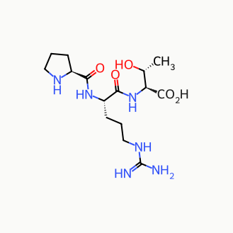 C[C@@H](O)[C@H](NC(=O)[C@H](CCCNC(=N)N)NC(=O)[C@@H]1CCCN1)C(=O)O